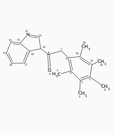 Cc1c(C)c(C)c(CC(=O)C2C=Nc3ccccc32)c(C)c1C